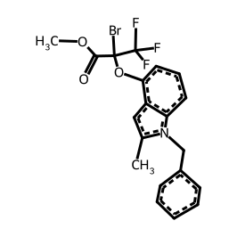 COC(=O)C(Br)(Oc1cccc2c1cc(C)n2Cc1ccccc1)C(F)(F)F